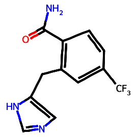 NC(=O)c1ccc(C(F)(F)F)cc1Cc1cnc[nH]1